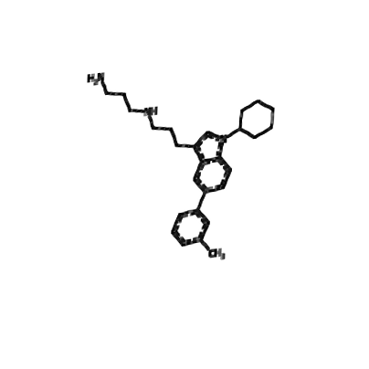 Cc1cccc(-c2ccc3c(c2)c(CCCNCCCN)cn3C2CCCCC2)c1